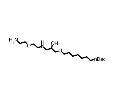 CCCCCCCCCCCCCCCCCOCC(O)CNCCOCCN